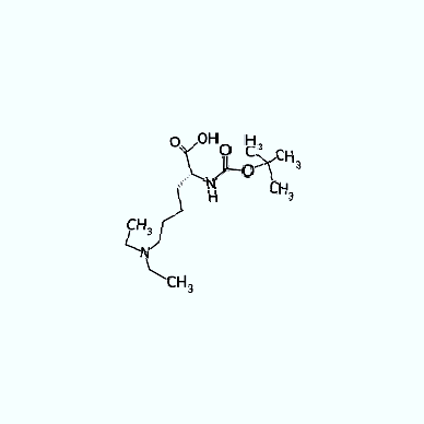 CCN(CC)CCCC[C@@H](NC(=O)OC(C)(C)C)C(=O)O